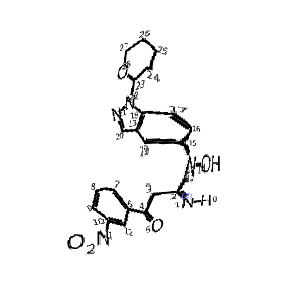 [H]/N=C(/CC(=O)c1cccc([N+](=O)[O-])c1)N(O)c1ccc2c(cnn2C2CCCCO2)c1